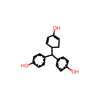 OC1=CCC(C(c2ccc(O)cc2)c2ccc(O)cc2)C=C1